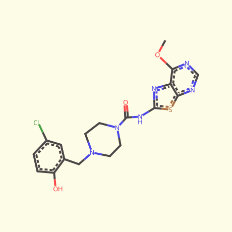 COc1ncnc2sc(NC(=O)N3CCN(Cc4cc(Cl)ccc4O)CC3)nc12